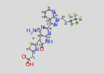 C[C@@]1(c2nc(CC(=O)O)cs2)C(=O)Nc2nc(-c3nn(CCC(F)(F)C(F)(F)F)c4ncccc34)nc(N)c21